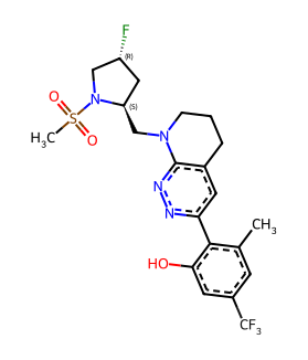 Cc1cc(C(F)(F)F)cc(O)c1-c1cc2c(nn1)N(C[C@@H]1C[C@@H](F)CN1S(C)(=O)=O)CCC2